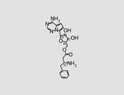 C[C@@]1(c2ccc3c(N)ncnn23)O[C@H](COC(=O)C[C@@H](N)Cc2ccccc2)[C@@H](O)[C@H]1O